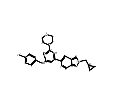 Clc1ccc(Nc2cc(-c3ccc4nn(CC5CC5)cc4c3)nc(N3CCOCC3)n2)cc1